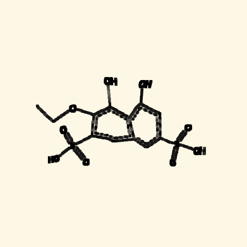 CCOc1c(S(=O)(=O)O)cc2cc(S(=O)(=O)O)cc(O)c2c1O